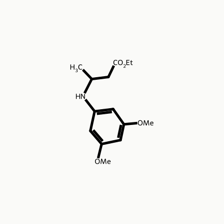 CCOC(=O)CC(C)Nc1cc(OC)cc(OC)c1